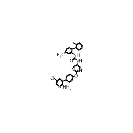 Cc1ccccc1-c1ccc(C(F)(F)F)cc1NC(=O)Nc1cnc(Oc2ccc(-c3cc(Cl)cnc3N)cc2)nc1